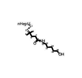 CCCCCCCSSC(C)(C)CCC(=O)NCCCCCCO